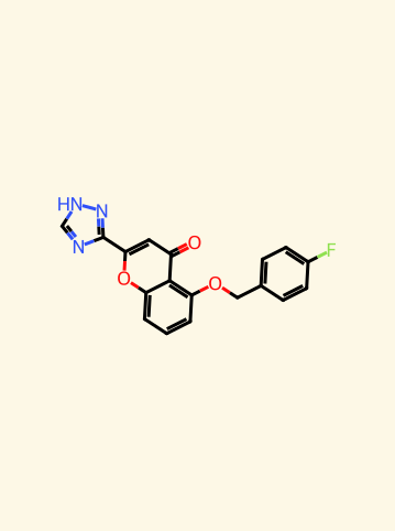 O=c1cc(-c2nc[nH]n2)oc2cccc(OCc3ccc(F)cc3)c12